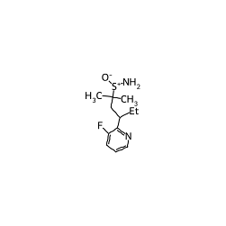 CCC(CC(C)(C)[S+](N)[O-])c1ncccc1F